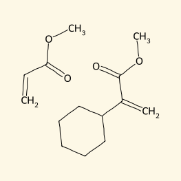 C=C(C(=O)OC)C1CCCCC1.C=CC(=O)OC